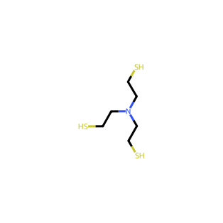 SCCN(CCS)CCS